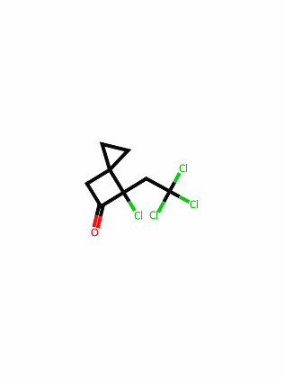 O=C1CC2(CC2)C1(Cl)CC(Cl)(Cl)Cl